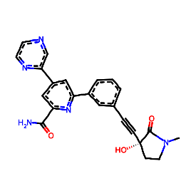 CN1CC[C@@](O)(C#Cc2cccc(-c3cc(-c4cnccn4)cc(C(N)=O)n3)c2)C1=O